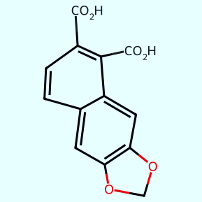 O=C(O)c1ccc2cc3c(cc2c1C(=O)O)OCO3